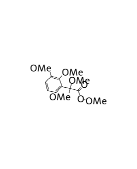 COOC(=O)C(OC)(OC)c1cccc(OC)c1OC